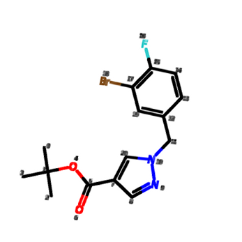 CC(C)(C)OC(=O)c1cnn(Cc2ccc(F)c(Br)c2)c1